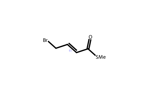 CSC(=O)/C=C/CBr